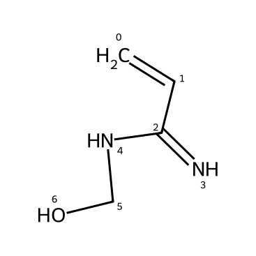 C=CC(=N)NCO